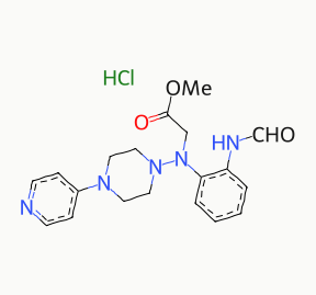 COC(=O)CN(c1ccccc1NC=O)N1CCN(c2ccncc2)CC1.Cl